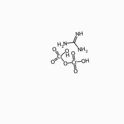 N=C(N)N.[O]=[Cr](=[O])([OH])[O][Cr](=[O])(=[O])[OH]